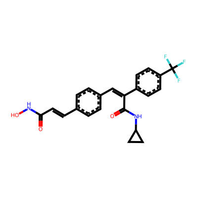 O=C(/C=C/c1ccc(/C=C(\C(=O)NC2CC2)c2ccc(C(F)(F)F)cc2)cc1)NO